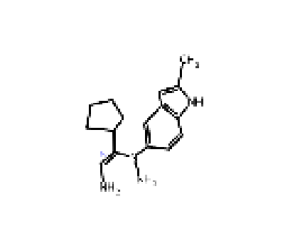 Cc1cc2cc(N(N)/C(=C\N)C3CCCC3)ccc2[nH]1